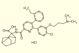 CCc1ccccc1-c1ccc(C(=O)NC2(C(=O)O)C3CC4CC(C3)CC2C4)nc1-c1ccc(Cl)c(OCCCN(C)C)c1.Cl